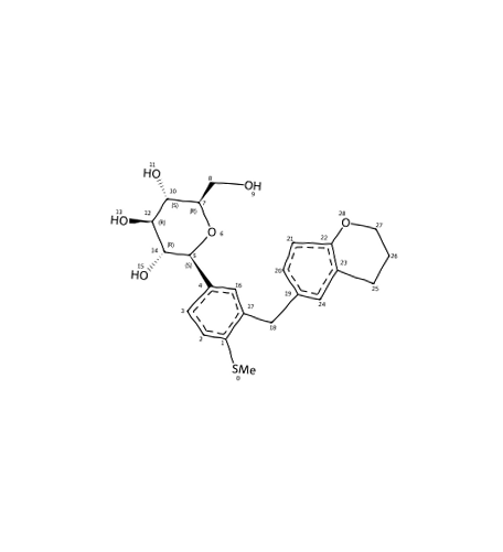 CSc1ccc([C@@H]2O[C@H](CO)[C@@H](O)[C@H](O)[C@H]2O)cc1Cc1ccc2c(c1)CCCO2